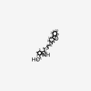 OCc1cccc2c(CSCCN3CCc4c(oc5ccccc45)C3)c[nH]c12